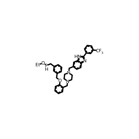 CCOPCc1cccc(COc2ccccc2CN2CCN(Cc3ccc4nc(-c5cccc(C(F)(F)F)c5)[nH]c4c3)CC2)c1